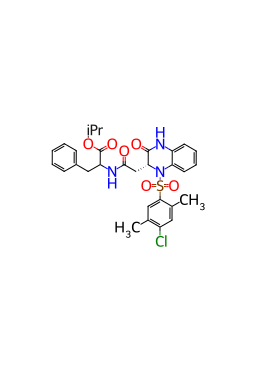 Cc1cc(S(=O)(=O)N2c3ccccc3NC(=O)[C@H]2CC(=O)NC(Cc2ccccc2)C(=O)OC(C)C)c(C)cc1Cl